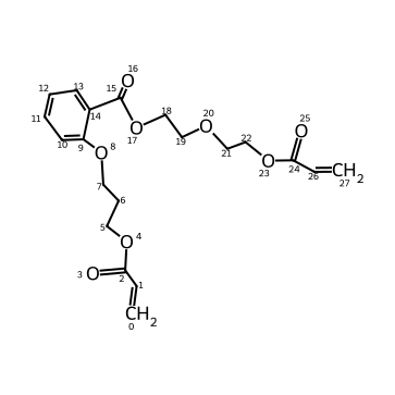 C=CC(=O)OCCCOc1ccccc1C(=O)OCCOCCOC(=O)C=C